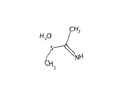 CSC(C)=N.O